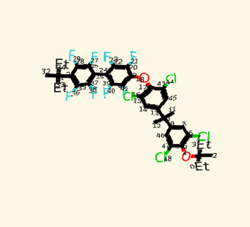 CCC(C)(CC)Oc1c(Cl)cc(C(C)(C)c2cc(Cl)c(Oc3c(F)c(F)c(-c4c(F)c(F)c(C(C)(CC)CC)c(F)c4F)c(F)c3F)c(Cl)c2)cc1Cl